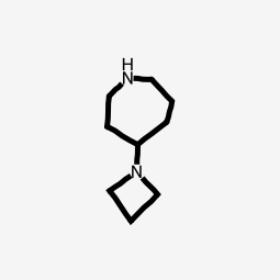 C1CNCCC(N2CCC2)C1